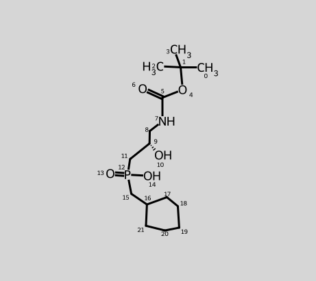 CC(C)(C)OC(=O)NC[C@H](O)CP(=O)(O)CC1CCCCC1